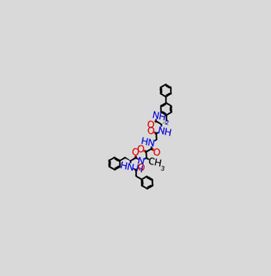 CC(NC(=O)[C@H](Cc1ccccc1)NC(=O)Cc1ccccc1)C(=O)C(=O)NCC(=O)N[C@@H](Cc1ccc(-c2ccccc2)cc1)C(N)=O